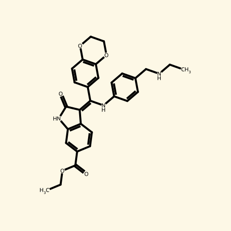 CCNCc1ccc(NC(=C2C(=O)Nc3cc(C(=O)OCC)ccc32)c2ccc3c(c2)OCCO3)cc1